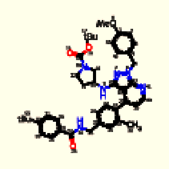 COc1ccc(Cn2nc(N[C@@H]3CCN(C(=O)OC(C)(C)C)C3)c3c(-c4ccc(CNC(=O)c5ccc(C(C)(C)C)cc5)cc4C)ccnc32)cc1